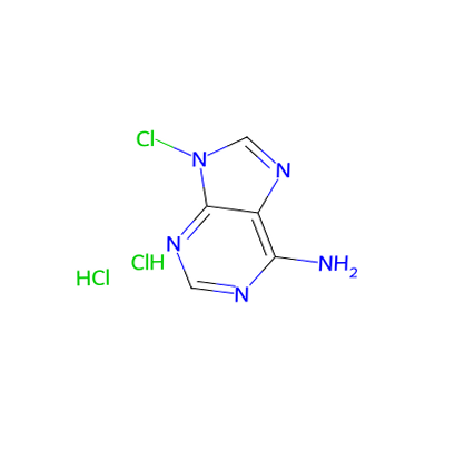 Cl.Cl.Nc1ncnc2c1ncn2Cl